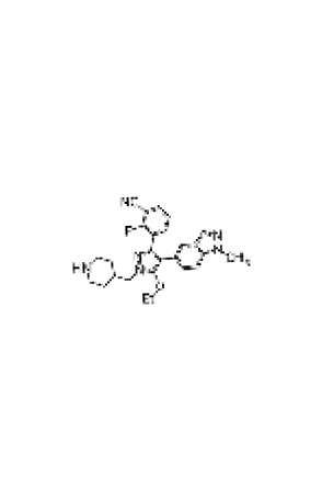 CCOc1c(-c2ccc3c(cnn3C)c2)c(-c2cccc(C#N)c2F)nn1CC1CCNCC1